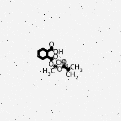 C=C(C)C(=O)OC(C)(C)OC(=O)C1CCCCC1C(=O)O